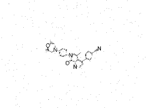 Cc1cn(-c2ccc(N3C[C@@H](C)O[C@@H](C)C3)cc2)c(=O)c2nccc(-c3ccc(C#N)cc3)c12